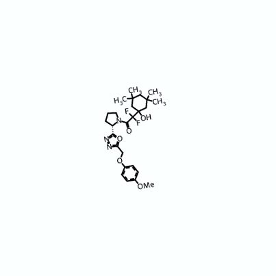 COc1ccc(OCc2nnc([C@@H]3CCCN3C(=O)C(F)(F)C3(O)CC(C)(C)CC(C)(C)C3)o2)cc1